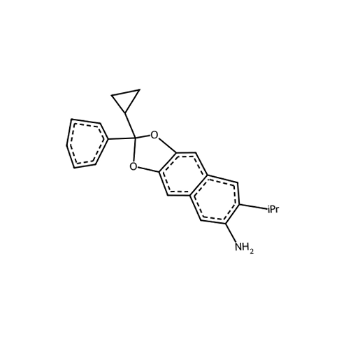 CC(C)c1cc2cc3c(cc2cc1N)OC(c1ccccc1)(C1CC1)O3